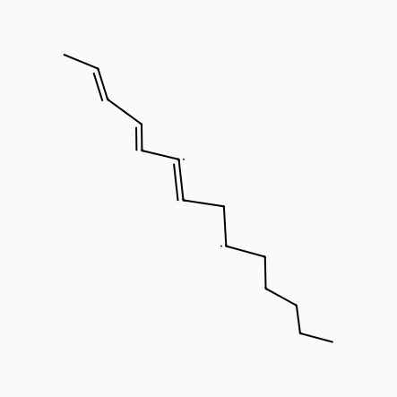 C/C=C/C=C/[C]=C/C[CH]CCCCC